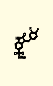 CNS(=O)(=O)c1ccc2c(c1)C(=Cc1ccc(F)c(F)c1)C(=O)N2